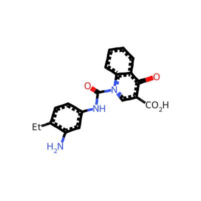 CCc1ccc(NC(=O)n2cc(C(=O)O)c(=O)c3ccccc32)cc1N